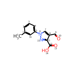 Cc1cccc(-n2cc(C=O)c(C(=O)O)n2)c1